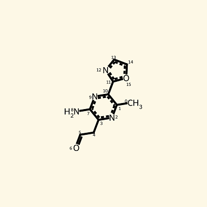 Cc1nc(CC=O)c(N)nc1-c1ncco1